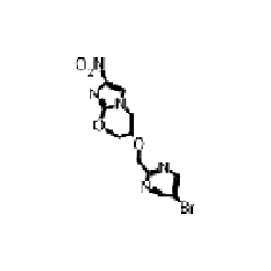 O=[N+]([O-])c1cn2c(n1)OC[C@@H](OCc1ncc(Br)cn1)C2